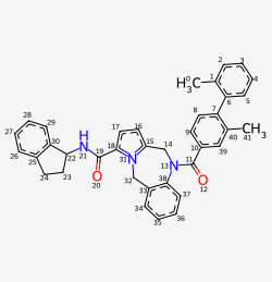 Cc1ccccc1-c1ccc(C(=O)N2Cc3ccc(C(=O)NC4CCc5ccccc54)n3Cc3ccccc32)cc1C